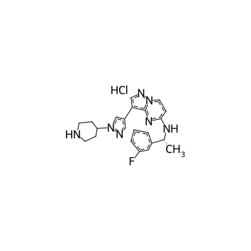 C[C@@H](Nc1ccn2ncc(-c3cnn(C4CCNCC4)c3)c2n1)c1cccc(F)c1.Cl